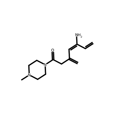 C=C/C(N)=C\C(=C)CC(=O)N1CCN(C)CC1